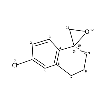 Clc1ccc2c(c1)CCC[C@@]21CO1